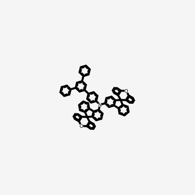 c1ccc(-c2cc(-c3ccccc3)cc(-c3ccc(N(c4ccc5c(c4)-c4ccccc4C54c5ccccc5Oc5ccccc54)c4cccc5c4-c4ccccc4C54c5ccccc5Oc5ccccc54)cc3)c2)cc1